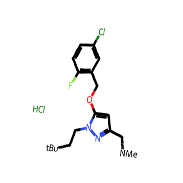 CNCc1cc(OCc2cc(Cl)ccc2F)n(CCC(C)(C)C)n1.Cl